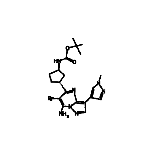 Cn1cc(-c2cnn3c(N)c(Br)c([C@@H]4CC[C@@H](NC(=O)OC(C)(C)C)C4)nc23)cn1